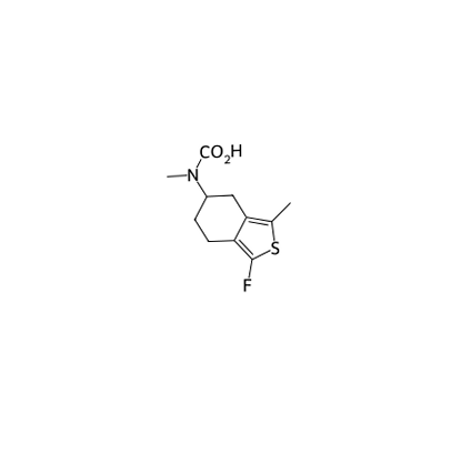 Cc1sc(F)c2c1CC(N(C)C(=O)O)CC2